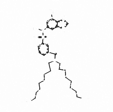 CCCCCCCCCCCCCCCCCCN(CCCCCCCCCCCCCCCCCC)C(=O)c1cccc(S(=O)(=O)N(C)c2cc(O)c3ncoc3c2)c1